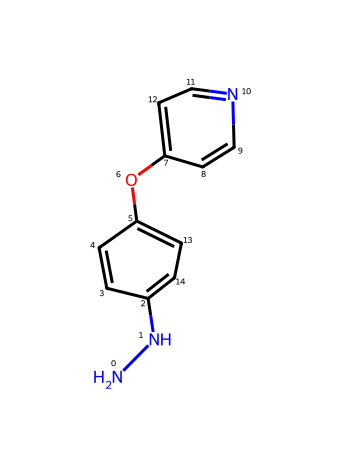 NNc1ccc(Oc2ccncc2)cc1